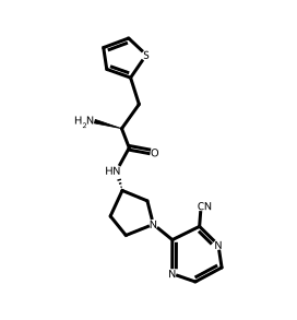 N#Cc1nccnc1N1CC[C@H](NC(=O)[C@@H](N)Cc2cccs2)C1